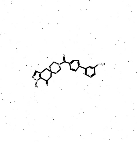 CC(C)n1ncc2c1C(=O)CC1(CCN(C(=O)c3ccc(-c4cccc(C(=O)O)c4)cc3)CC1)C2